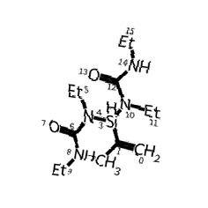 C=C(C)[SiH](N(CC)C(=O)NCC)N(CC)C(=O)NCC